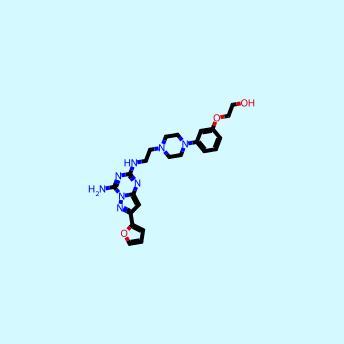 Nc1nc(NCCN2CCN(c3cccc(OCCO)c3)CC2)nc2cc(-c3ccco3)nn12